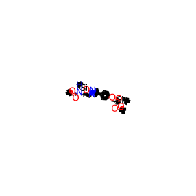 CC(C)(C)OC(=O)NC[C@@H](Cn1cc(-c2ccc(OC[C@@H](O[Si](C)(C)C(C)(C)C)C(=O)OC(C)(C)C)cc2)cn1)O[Si](C)(C)C(C)(C)C